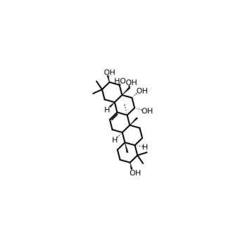 CC1(C)C[C@H]2C3=CC[C@@H]4[C@@]5(C)CC[C@H](O)C(C)(C)[C@@H]5CC[C@@]4(C)[C@]3(C)[C@@H](O)[C@@H](O)[C@@]2(CO)[C@@H](O)[C@@H]1O